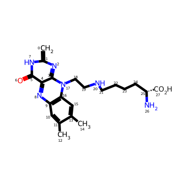 C=c1nc2c(c(=O)[nH]1)=Nc1cc(C)c(C)cc1N2CCNCCCC[C@@H](N)C(=O)O